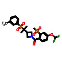 CC(C)(C1CN(C(=O)c2ccc(OC(F)F)cc2S(C)(=O)=O)C1)S(=O)(=O)c1cccc(C(F)(F)F)c1